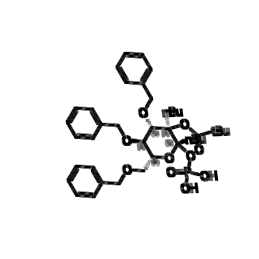 CCCC[C@@]1(OP(=O)(O)O)O[C@H](COCc2ccccc2)[C@@H](OCc2ccccc2)[C@H](OCc2ccccc2)[C@@]1(CCCC)OC(=O)C(C)(C)C